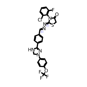 O=C1CS/C(=N\N=C\c2ccc(C3=NN(c4ccc(OC(F)(F)F)cc4)CN3)cc2)N1c1c(F)cccc1Cl